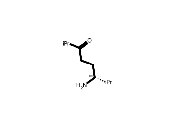 CC(C)C(=O)CC[C@@H](N)C(C)C